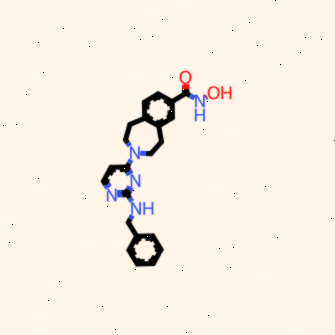 O=C(NO)c1ccc2c(c1)CCN(c1ccnc(NCc3ccccc3)n1)CC2